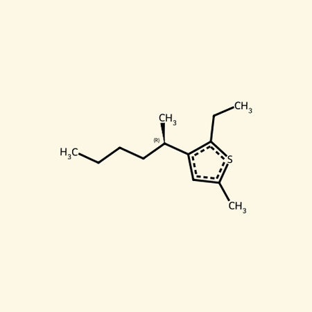 CCCC[C@@H](C)c1cc(C)sc1CC